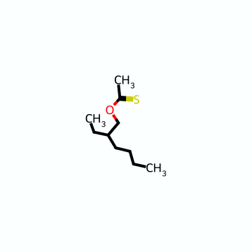 CCCCC(CC)COC(C)=S